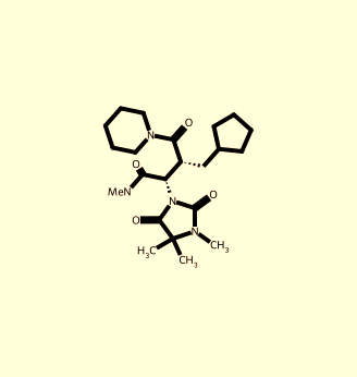 CNC(=O)[C@H]([C@@H](CC1CCCC1)C(=O)N1CCCCC1)N1C(=O)N(C)C(C)(C)C1=O